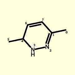 CC1=NNC(C)C=C1